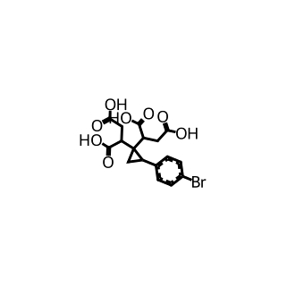 O=C(O)CC(C(=O)O)C1(C(CC(=O)O)C(=O)O)CC1c1ccc(Br)cc1